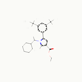 CCOC(=O)c1cc(-c2cc(C(C)(C)C)cc(C(C)(C)C)c2)n(C(C)C2CCCCC2)c1C